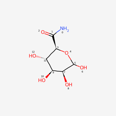 NC(=O)[C@H]1OC(O)[C@@H](O)[C@@H](O)[C@@H]1O